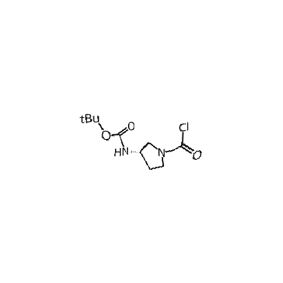 CC(C)(C)OC(=O)N[C@H]1CCN(C(=O)Cl)C1